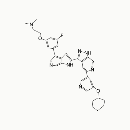 CN(C)CCOc1cc(F)cc(-c2cncc3[nH]c(-c4n[nH]c5cnc(-c6cncc(OC7CCCCC7)c6)cc45)cc23)c1